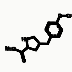 COC(=O)C1CC(Cc2ccc(OC(F)(F)F)cc2)CN1